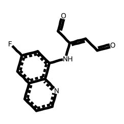 O=C/C=C(/C=O)Nc1cc(F)cc2cccnc12